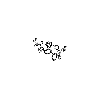 Cc1nc(C(=O)NCC(F)(F)F)cn1-c1ccc(-c2cccc(S(C)(=O)=O)c2)cc1-n1nncc1-c1ccc(OC(F)(F)F)cc1